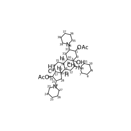 CC(=O)OC1CC2(O)C(N3CCCCC3)C[C@@H]3[C@@H](CC[C@]4(C)C(OC(C)=O)C(N5CCCCC5)C[C@@H]34)[C@@]2(C)CC1N1CCCCC1